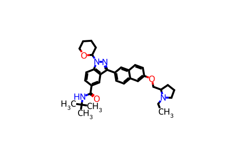 CCN1CCCC1COc1ccc2cc(-c3nn(C4CCCCO4)c4ccc(C(=O)NC(C)(C)C)cc34)ccc2c1